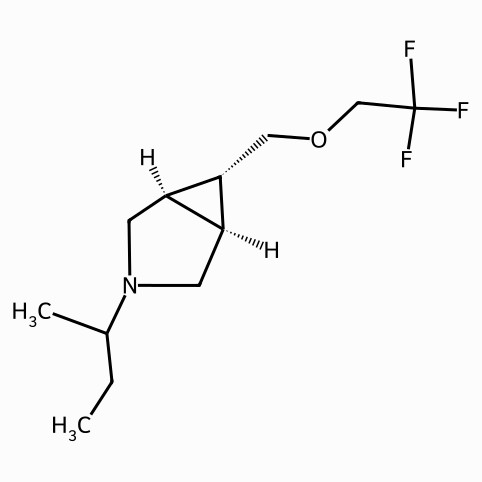 CCC(C)N1C[C@@H]2[C@@H](COCC(F)(F)F)[C@@H]2C1